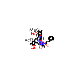 COc1c(C)cc2c(c1O)[C@@H]1C3Cc4c(OC(C)=O)c(C)c5c(c4[C@H](CNC(=O)[C@H](C)NC(=O)CCc4ccccc4)N3[C@@H](O)[C@H](C2)N1C)OCO5